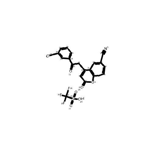 N#Cc1ccc2oc(=O)cc(CC(=O)c3cccc(Cl)c3)c2c1.O=S(=O)(O)C(F)(F)F